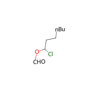 CCCCCCC(Cl)OC=O